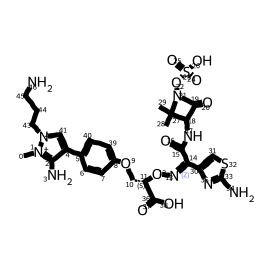 C[n+]1c(N)c(-c2ccc(OC[C@H](O/N=C(\C(=O)NC3C(=O)N(OS(=O)(=O)O)C3(C)C)c3csc(N)n3)C(=O)O)cc2)cn1CCCN